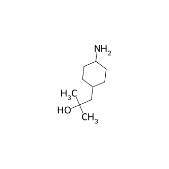 CC(C)(O)CC1CCC(N)CC1